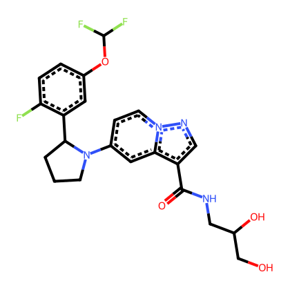 O=C(NCC(O)CO)c1cnn2ccc(N3CCCC3c3cc(OC(F)F)ccc3F)cc12